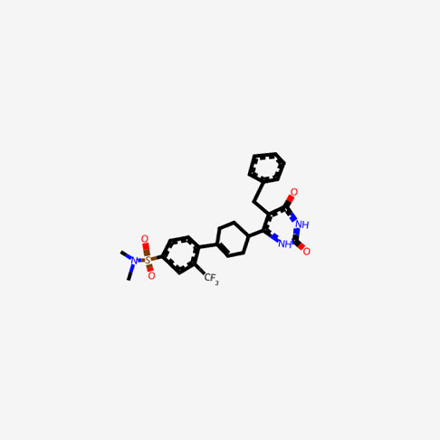 CN(C)S(=O)(=O)c1ccc(C2=CCC(c3[nH]c(=O)[nH]c(=O)c3Cc3ccccc3)CC2)c(C(F)(F)F)c1